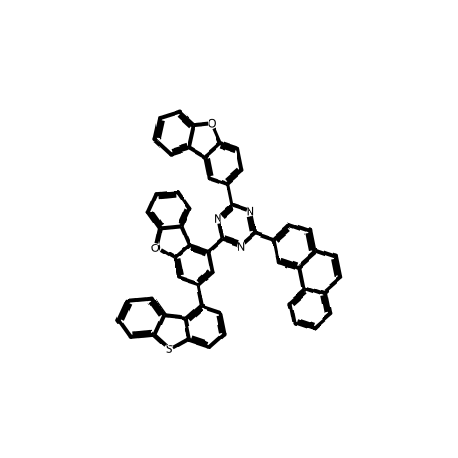 c1ccc2c(c1)ccc1ccc(-c3nc(-c4ccc5oc6ccccc6c5c4)nc(-c4cc(-c5cccc6sc7ccccc7c56)cc5oc6ccccc6c45)n3)cc12